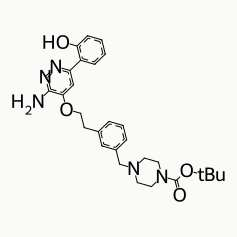 CC(C)(C)OC(=O)N1CCN(Cc2cccc(CCOc3cc(-c4ccccc4O)nnc3N)c2)CC1